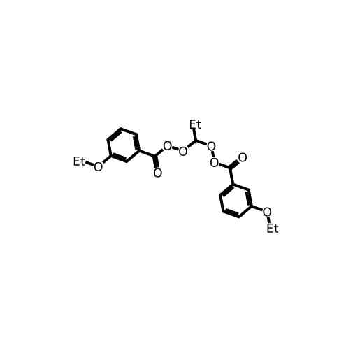 [CH2]C[C](OOC(=O)c1cccc(OCC)c1)OOC(=O)c1cccc(OCC)c1